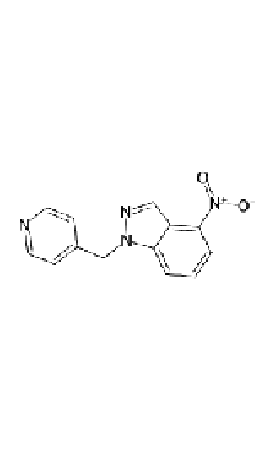 O=[N+]([O-])c1cccc2c1cnn2Cc1ccncc1